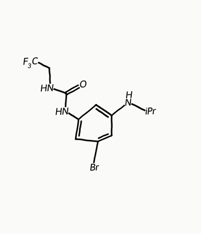 CC(C)Nc1cc(Br)cc(NC(=O)NCC(F)(F)F)c1